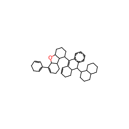 C1=CC(C2=CCCC3C2OC2CCCC(C4=C5C=CCCC5C(C5CCCC6CCCCC65)c5ccccc54)C23)=CCC1